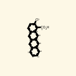 O=C(O)c1c(Cl)ccc2cc3cc4ccccc4cc3cc12